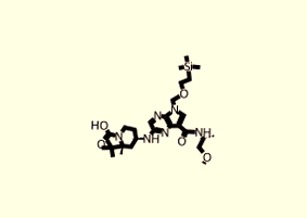 COC[C@@H](C)NC(=O)c1cn(COCC[Si](C)(C)C)c2ncc(N[C@@H]3CCN(C(=O)O)[C@@](C)(C(C)(C)C)C3)nc12